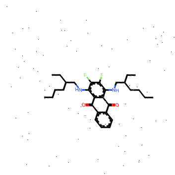 CCCCC(CC)CNc1c(F)c(F)c(NCC(CC)CCCC)c2c1C(=O)c1ccccc1C2=O